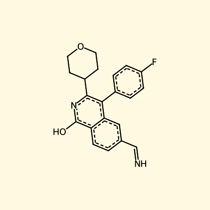 N=Cc1ccc2c(O)nc(C3CCOCC3)c(-c3ccc(F)cc3)c2c1